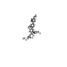 CN1CCCc2c(c3ccc(-n4ccc(-c5ccc(CF)nn5)cc4=O)cc3n2C)C1